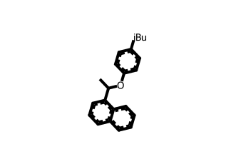 CCC(C)c1ccc(OC(C)c2cccc3ccccc23)cc1